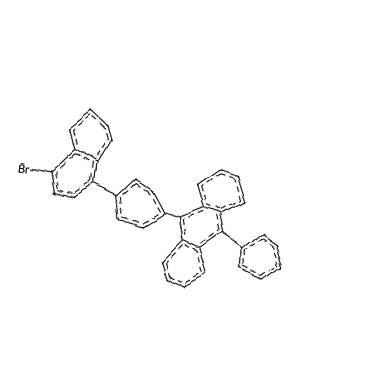 Brc1ccc(-c2ccc(-c3c4ccccc4c(-c4ccccc4)c4ccccc34)cc2)c2ccccc12